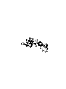 CCc1cnn(-c2ncc(NC(=O)N3C[C@@](C)(C(F)(F)F)c4c3cnc3cc(Cl)nn43)cc2Cl)n1